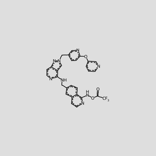 O=C(ONc1nccc2cc(CNc3nccc4nn(Cc5ccc(Oc6cccnc6)nc5)cc34)ccc12)C(F)(F)F